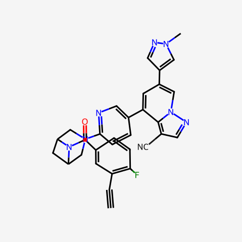 C#Cc1cc(C(=O)N2C3CC2CN(c2ccc(-c4cc(-c5cnn(C)c5)cn5ncc(C#N)c45)cn2)C3)ccc1F